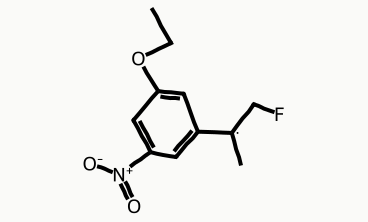 CCOc1cc([C](C)CF)cc([N+](=O)[O-])c1